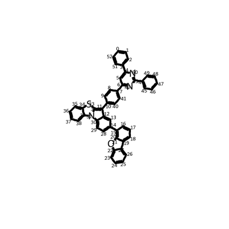 c1ccc(-c2cc(-c3ccc(-c4c5cc(-c6cccc7c6oc6ccccc67)ccc5n5c4sc4ccccc45)cc3)nc(-c3ccccc3)n2)cc1